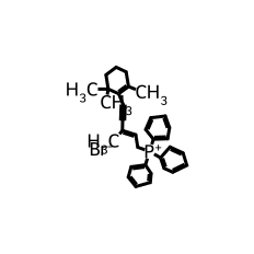 CC(C#CC1=C(C)CCCC1(C)C)=CC[P+](c1ccccc1)(c1ccccc1)c1ccccc1.[Br-]